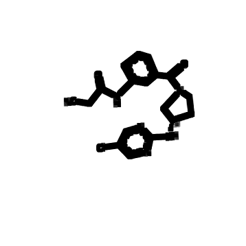 N#CCC(=O)Nc1cccc(C(=O)N2CC[C@H](Nc3ncc(Cl)cn3)C2)c1